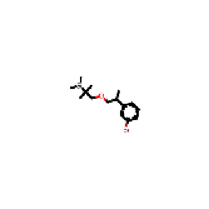 CC(COCC(C)(C)[SiH](C)C)c1cccc(Br)c1